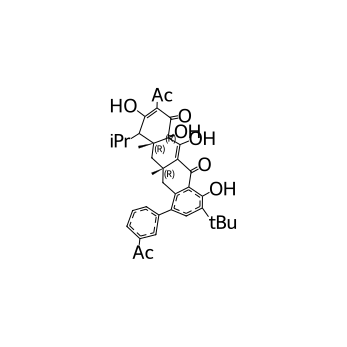 CC(=O)C1=C(O)C(C(C)C)[C@@]2(C)C[C@@]3(C)Cc4c(-c5cccc(C(C)=O)c5)cc(C(C)(C)C)c(O)c4C(=O)C3=C(O)[C@@]2(O)C1=O